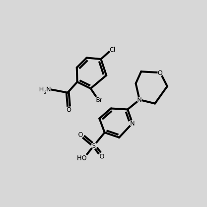 NC(=O)c1ccc(Cl)cc1Br.O=S(=O)(O)c1ccc(N2CCOCC2)nc1